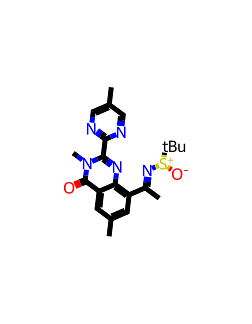 CC(=N[S+]([O-])C(C)(C)C)c1cc(C)cc2c(=O)n(C)c(-c3ncc(C)cn3)nc12